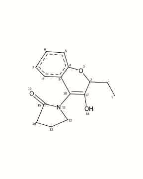 CCC1Oc2ccccc2C(N2CCCC2=O)=C1O